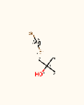 CC(C)(C)O.[Br][Mg][Br]